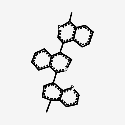 Cc1pcc(-c2cpc(-c3ccc(C)c4cccpc34)c3ccccc23)c2ccccc12